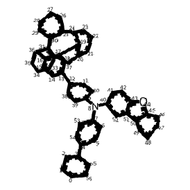 c1ccc(-c2ccc(N(c3ccc(-c4ccc5c(c4)-c4c6cccc4-c4ccccc4C4=C(CCCC45)C6)cc3)c3ccc4oc5ccccc5c4c3)cc2)cc1